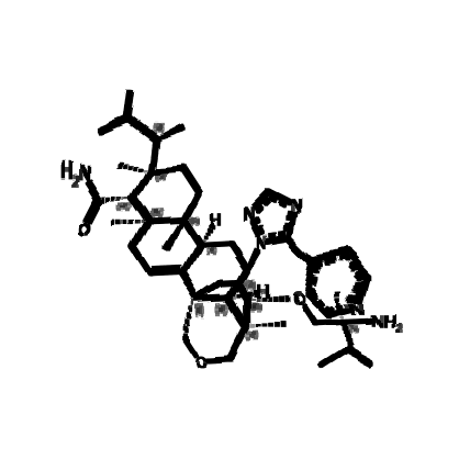 CC(C)[C@@H](C)[C@@]1(C)CC[C@]2(C)[C@H]3CC[C@@H]4[C@@]5(COC[C@]4(C)[C@@H](OC[C@@](C)(N)C(C)C)[C@H](n4ncnc4-c4ccncc4)C5)C3=CC[C@@]2(C)[C@@H]1C(N)=O